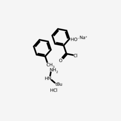 CC(C)(C)NN.Cc1ccccc1.Cl.O=C(Cl)c1ccccc1.[Na+].[OH-]